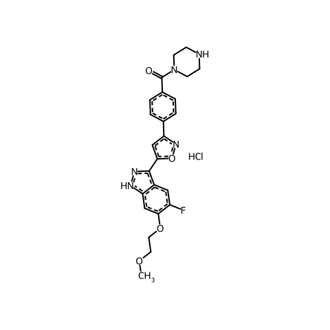 COCCOc1cc2[nH]nc(-c3cc(-c4ccc(C(=O)N5CCNCC5)cc4)no3)c2cc1F.Cl